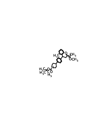 CON(C)C(=O)CC(c1ccc(C2CCN(C(=O)OC(C)(C)C)CC2)cc1)c1ccccc1C